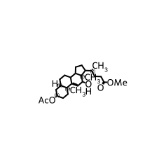 COC(=O)CC[C@@H](C)C1CCC2C3CC[C@@H]4C[C@H](OC(C)=O)CC[C@]4(C)C3=CC(O)[C@@]21C